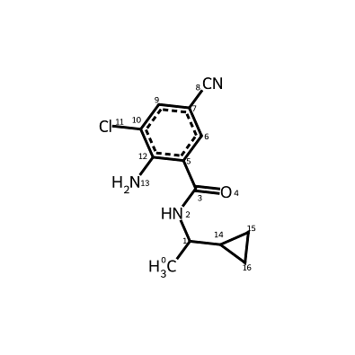 CC(NC(=O)c1cc(C#N)cc(Cl)c1N)C1CC1